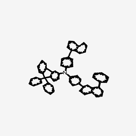 c1ccc(-c2cccc3ccc(-c4ccc(N(c5ccc(-c6cccc7ccccc67)cc5)c5ccc6c(c5)-c5ccccc5C6(c5ccccc5)c5ccccc5)cc4)cc23)cc1